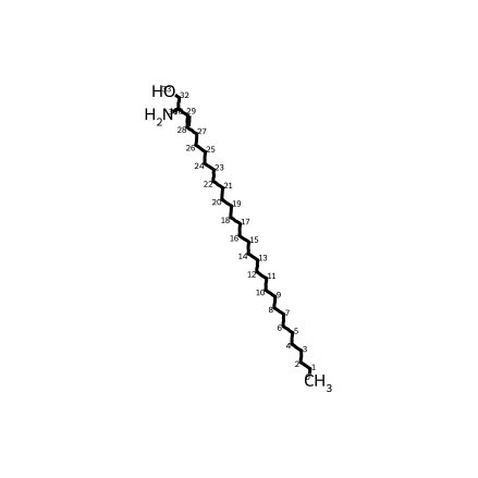 CCCCCCCCCCCCCCCCCCCCCCCCCCCC/C=C/C(N)CO